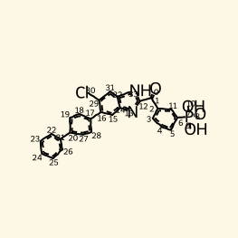 O=C(c1cccc(P(=O)(O)O)c1)c1nc2cc(-c3ccc(-c4ccccc4)cc3)c(Cl)cc2[nH]1